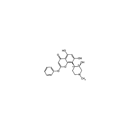 CN1CC[C@@H](c2c(O)cc(O)c3c(=O)cc(Oc4ccccc4)oc23)[C@@H](O)C1